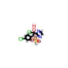 CC(O)(c1cnccn1)C(OS(C)(=O)=O)c1ccc(Cl)cc1Cl